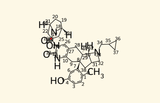 Cc1ccc(O)cc1[C@@]12Cc3[nH]c(=O)c(C(=O)N4[C@@H]5CC[C@H]4C[C@@H](O)C5)cc3C[C@H]1[C@H]1C(CN1CC1CC1)C2